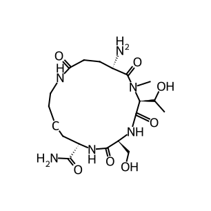 CC(O)[C@H]1C(=O)N[C@@H](CO)C(=O)N[C@H](C(N)=O)CCCCNC(=O)CC[C@H](N)C(=O)N1C